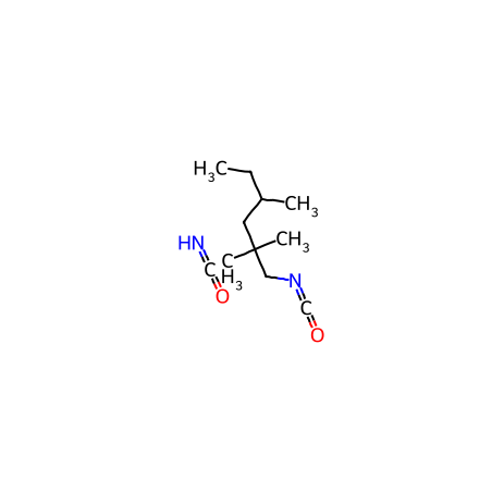 CCC(C)CC(C)(C)CN=C=O.N=C=O